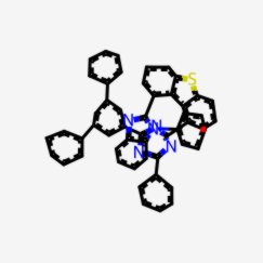 c1ccc(-c2cc(-c3ccccc3)cc(-c3nc(-c4ccccc4)nc(-c4cccc5sc6cccc(-c7nc8ccccc8n7-c7ccccc7)c6c45)n3)c2)cc1